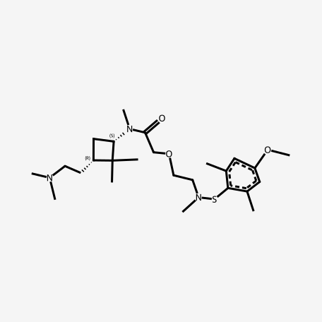 COc1cc(C)c(SN(C)CCOCC(=O)N(C)[C@H]2C[C@@H](CCN(C)C)C2(C)C)c(C)c1